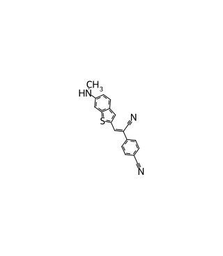 CNc1ccc2cc(/C=C(\C#N)c3ccc(C#N)cc3)sc2c1